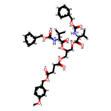 COc1ccc(COC(=O)CCC(=O)OCC(COC(=O)[C@@H](NC(=O)OCc2ccccc2)C(C)C)OC(=O)[C@@H](NC(=O)OCc2ccccc2)C(C)C)cc1